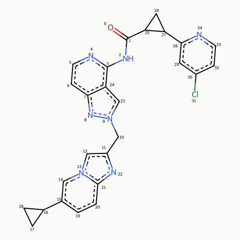 O=C(Nc1nccc2nn(Cc3cn4cc(C5CC5)ccc4n3)cc12)C1CC1c1cc(Cl)ccn1